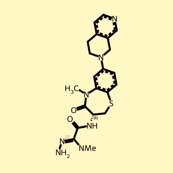 CN/C(=N\N)C(=O)N[C@H]1CSc2ccc(N3CCc4ccncc4C3)cc2N(C)C1=O